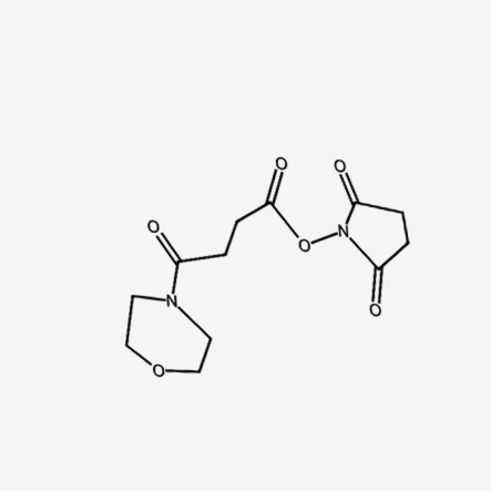 O=C(CCC(=O)N1CCOCC1)ON1C(=O)CCC1=O